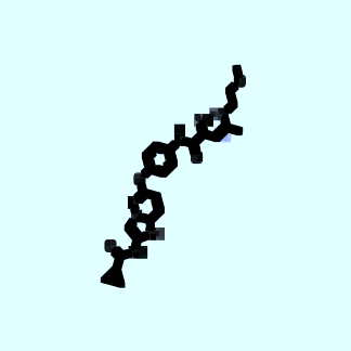 COCCN/C(C)=C\C(=N)C(=O)Nc1ccc(OC2=NN3C=C(NC(=O)C4CC4)NC3C=C2)cc1